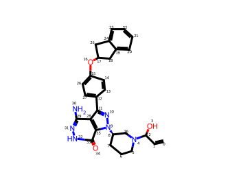 C=CC(O)N1CCC[C@@H](n2nc(-c3ccc(OC4Cc5ccccc5C4)cc3)c3c(N)n[nH]c(=O)c32)C1